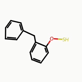 SOc1ccccc1Cc1ccccc1